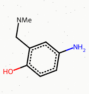 CNCc1cc(N)ccc1O